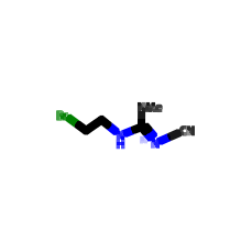 CN/C(=N\C#N)NCCBr